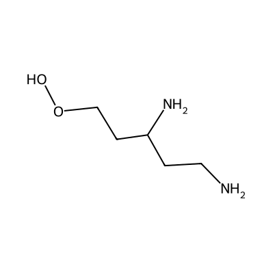 NCCC(N)CCOO